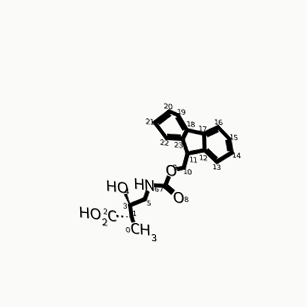 C[C@H](C(=O)O)[C@@H](O)CNC(=O)OCC1c2ccccc2-c2ccccc21